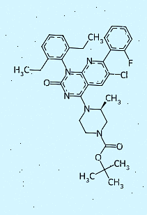 CCc1cccc(CC)c1-n1c(=O)nc(N2CCN(C(=O)OC(C)(C)C)C[C@@H]2C)c2cc(Cl)c(-c3ccccc3F)nc21